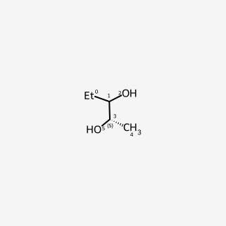 CCC(O)[C@H](C)O